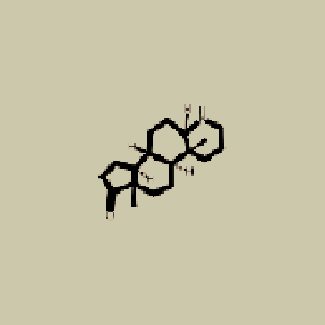 C[C@]12CCCN[C@H]1CC[C@@H]1[C@@H]2CC[C@]2(C)C(=O)CC[C@@H]12